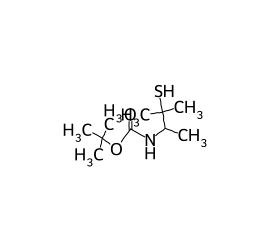 CC(NC(=O)OC(C)(C)C)C(C)(C)S